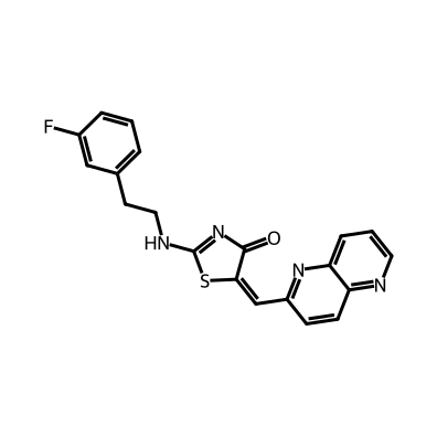 O=C1N=C(NCCc2cccc(F)c2)SC1=Cc1ccc2ncccc2n1